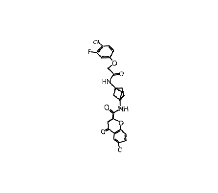 O=C(COc1ccc(Cl)c(F)c1)NC12CCC(NC(=O)C3CC(=O)c4cc(Cl)ccc4O3)(C1)C2